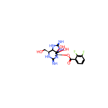 N=C1NC2[C@H](CO)NC(=N)N3C[C@H](OC(=O)c4cccc(F)c4F)C(O)(O)[C@]23N1